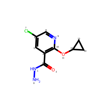 NNC(=O)c1cc(Cl)cnc1OC1CC1